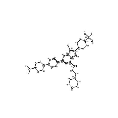 CC(C)N1CCN(c2ccc(-c3cc(NCCN4CCOCC4)c4nc(C5CCN(S(C)(=O)=O)CC5)n(C)c4c3)cc2)CC1